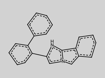 c1ccc(-c2ccccc2-c2cn3cc4ccccc4c3[nH]2)cc1